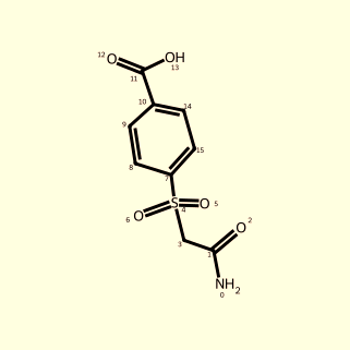 NC(=O)CS(=O)(=O)c1ccc(C(=O)O)cc1